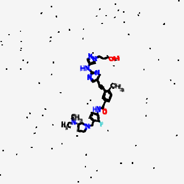 Cc1ccc(C(=O)Nc2ccc(CN3CC[C@H](N(C)C)C3)c(F)c2)cc1C#Cc1cnc(Nc2cnn(CCCO)c2)nc1